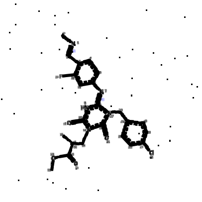 C/N=C/c1ccc(/N=c2\[nH]c(=O)n(C[C@H](C)C(=O)OC)c(=O)n2Cc2ccc(Cl)cc2)cc1F